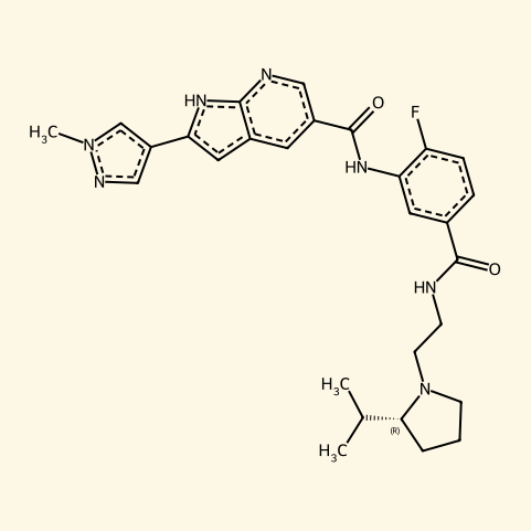 CC(C)[C@H]1CCCN1CCNC(=O)c1ccc(F)c(NC(=O)c2cnc3[nH]c(-c4cnn(C)c4)cc3c2)c1